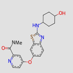 CNC(=O)c1cc(Oc2ccc3nc(NC4CCC(O)CC4)sc3c2)ccn1